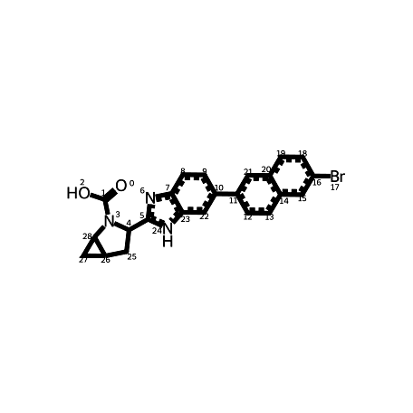 O=C(O)N1C(c2nc3ccc(-c4ccc5cc(Br)ccc5c4)cc3[nH]2)CC2CC21